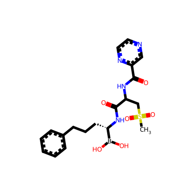 CS(=O)(=O)CC(NC(=O)c1cnccn1)C(=O)N[C@@H](CCCc1ccccc1)B(O)O